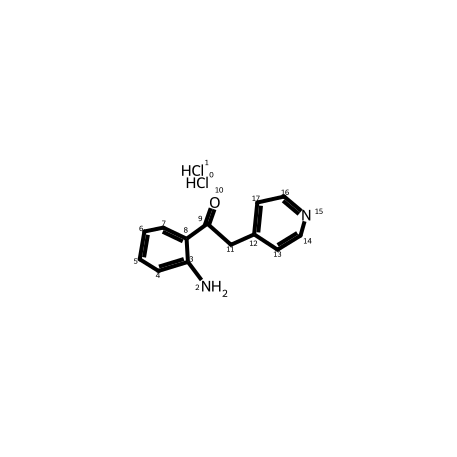 Cl.Cl.Nc1ccccc1C(=O)Cc1ccncc1